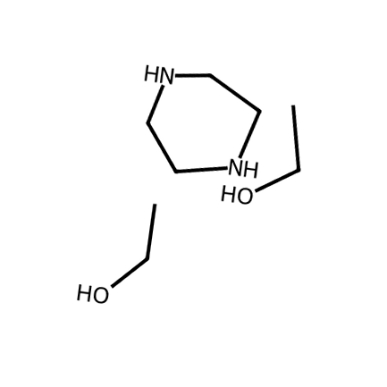 C1CNCCN1.CCO.CCO